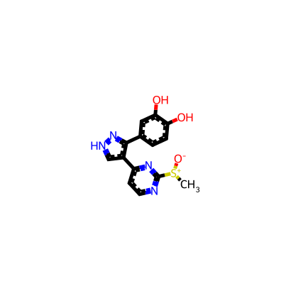 C[S+]([O-])c1nccc(-c2c[nH]nc2-c2ccc(O)c(O)c2)n1